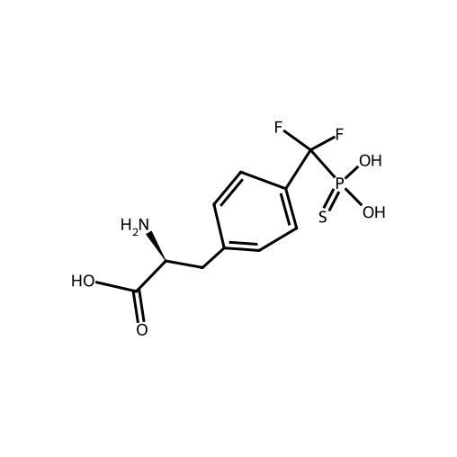 N[C@@H](Cc1ccc(C(F)(F)P(O)(O)=S)cc1)C(=O)O